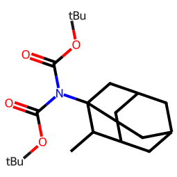 CC1C2CC3CC(C2)CC1(N(C(=O)OC(C)(C)C)C(=O)OC(C)(C)C)C3